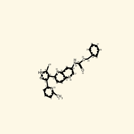 Cc1cccc(-c2n[nH]c(I)c2-c2ccc3ncc(NC(=O)OCc4ccccc4)cc3n2)n1